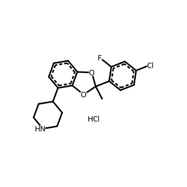 CC1(c2ccc(Cl)cc2F)Oc2cccc(C3CCNCC3)c2O1.Cl